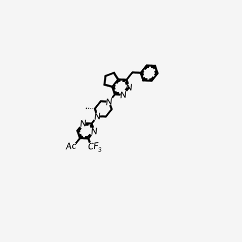 CC(=O)c1cnc(N2CCN(c3nnc(Cc4ccccc4)c4c3CCC4)C[C@H]2C)nc1C(F)(F)F